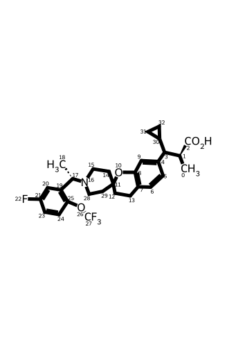 C[C@H](C(=O)O)C(c1ccc2c(c1)OC1(CC2)CCN([C@@H](C)c2cc(F)ccc2OC(F)(F)F)CC1)C1CC1